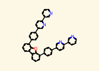 c1cncc(-c2ccc(-c3ccc(-c4cccc5c4oc4c(-c6ccc(-c7ccc(-c8cccnc8)nc7)cc6)cccc45)cc3)cn2)c1